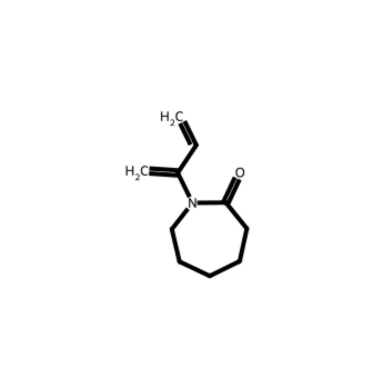 C=CC(=C)N1CCCCCC1=O